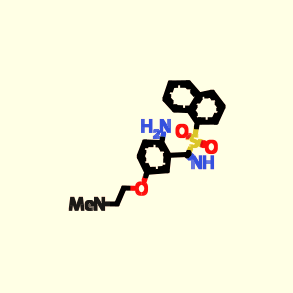 CNCCOc1ccc(N)c(C(=N)S(=O)(=O)c2cccc3ccccc23)c1